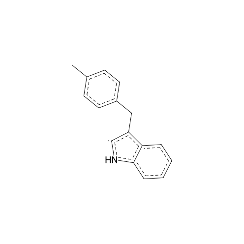 Cc1ccc(Cc2[c][nH]c3ccccc23)cc1